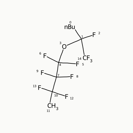 CCCCC(F)(OC(F)(F)C(F)(F)C(C)(F)F)C(F)(F)F